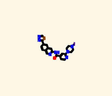 O=C(Nc1cc2cc(-c3nncs3)ccc2cn1)c1ccnc(N2CCN(I)CC2)c1